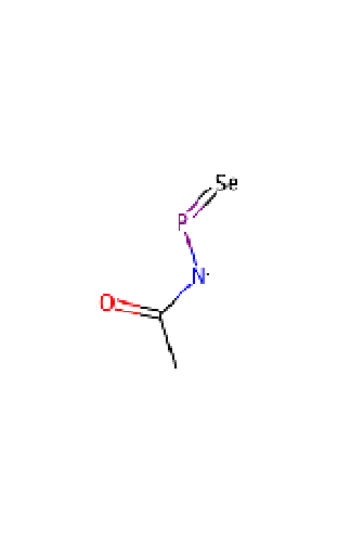 CC(=O)[N]P=[Se]